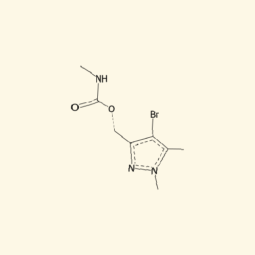 CNC(=O)OCc1nn(C)c(C)c1Br